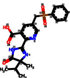 CC(C)C1(C)N=C(c2ncc(CS(=O)(=O)c3ccccc3)cc2C(=O)O)NC1=O